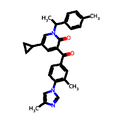 Cc1ccc(C(C)n2cc(C3CC3)cc(C(=O)c3ccc(-n4cnc(C)c4)c(C)c3)c2=O)cc1